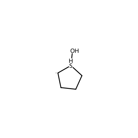 O[SH]1[CH]CCC1